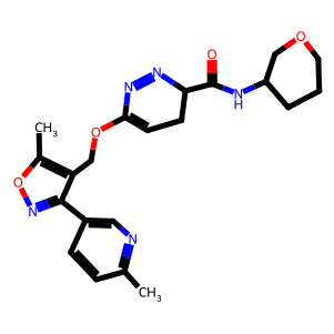 Cc1ccc(-c2noc(C)c2COC2=CCC(C(=O)NC3CCCOC3)N=N2)cn1